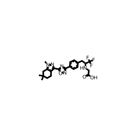 Cn1nc(-c2nc(-c3ccc(CC(NCC(=O)O)C(F)(F)F)cc3)no2)c2c1CC(C)(C)CC2